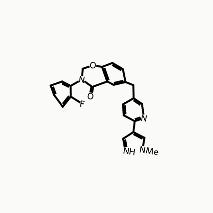 CN/C=C(\C=N)c1ccc(Cc2ccc3c(c2)C(=O)N(c2ccccc2F)CO3)cn1